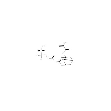 C=C(C)C(=O)OC12CC3CC(CC(OC(=O)OCC(F)(F)S(=O)(=O)O)(C3)C1)C2